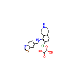 Clc1ccc2c(c1NCc1ccc3ncsc3c1)CCNCC2.O=C(O)C(=O)O